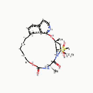 CCOC(=O)[C@@H]1C[C@H]2Oc3nccc4ccc(cc34)CCCCCOC(=O)N[C@@H](C(C)(C)C)C(=O)N1C2S(C)(=O)=O